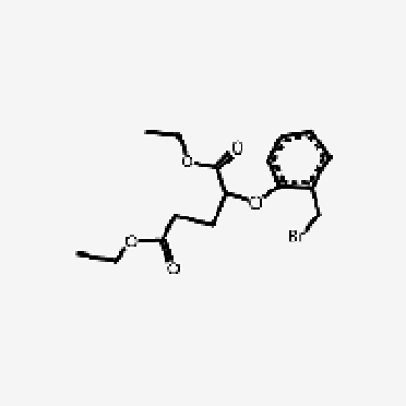 CCOC(=O)CCC(Oc1ccccc1CBr)C(=O)OCC